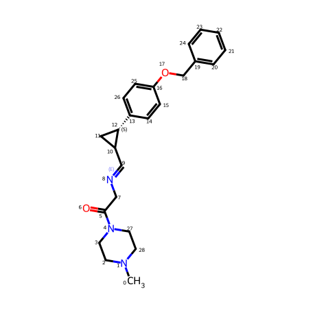 CN1CCN(C(=O)C/N=C/C2C[C@@H]2c2ccc(OCc3ccccc3)cc2)CC1